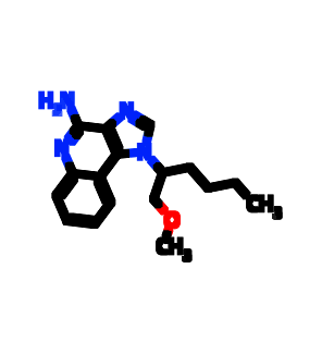 CCCCC(COC)n1cnc2c(N)nc3ccccc3c21